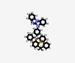 CC1(C)c2ccccc2Sc2c1cccc2[Si](c1ccccc1)(c1ccccc1)c1ccc(-n2c3ccccc3n3c4ccccc4nc23)cc1